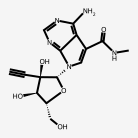 C#C[C@@]1(O)[C@H](O)[C@@H](CO)O[C@H]1n1cc(C(=O)NC)c2c(N)ncnc21